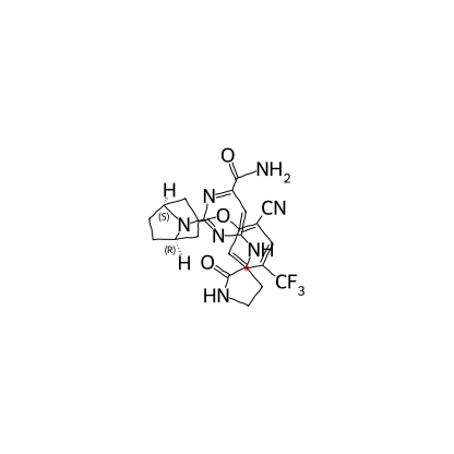 N#Cc1cc(C(F)(F)F)ccc1OC1C[C@H]2CC[C@@H](C1)N2c1nc(NC2CCNC2=O)cc(C(N)=O)n1